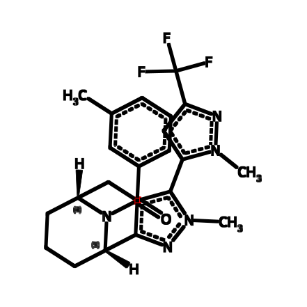 Cc1cccc(C(=O)N2[C@@H]3CCC[C@H]2c2nn(C)c(-c4cc(C(F)(F)F)nn4C)c2C3)c1